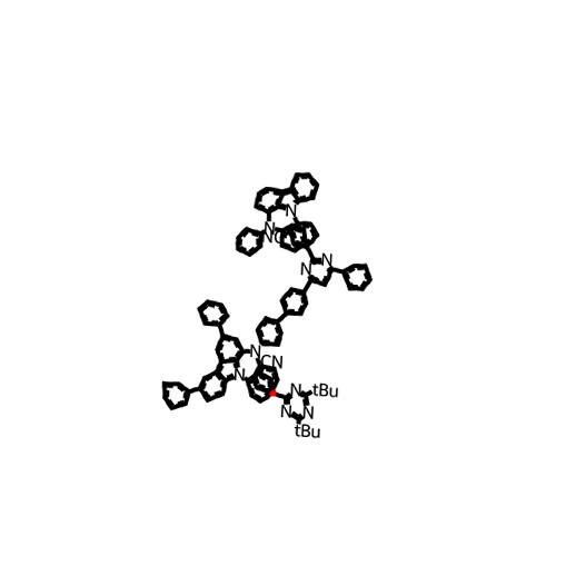 CC(C)(C)c1nc(-c2ccc(-n3c4ccc(-c5ccccc5)cc4c4cc(-c5ccccc5)cc(N(c5ccccc5)c5ccc(-c6ccc(-c7cc(-c8ccccc8)nc(-c8ccc(-n9c%10ccccc%10c%10cccc(N(c%11ccccc%11)c%11ccccc%11)c%109)c(C#N)c8)n7)cc6)cc5)c43)c(C#N)c2)nc(C(C)(C)C)n1